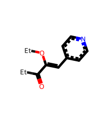 CCOC(=Cc1ccncc1)C(=O)CC